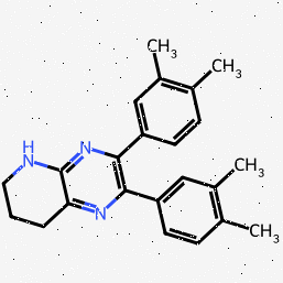 Cc1ccc(-c2nc3c(nc2-c2ccc(C)c(C)c2)NCCC3)cc1C